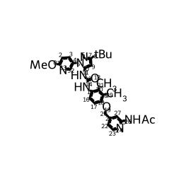 COc1ccc(-n2nc(C(C)(C)C)cc2NC(=O)Nc2ccc(OCc3ccnc(NC(C)=O)c3)c(C)c2C)cn1